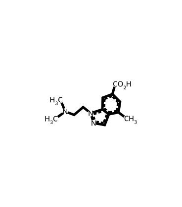 Cc1cc(C(=O)O)cc2c1cnn2CCN(C)C